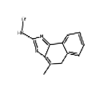 CCNC1=NC2=C(C)Cc3ccccc3C2=N1